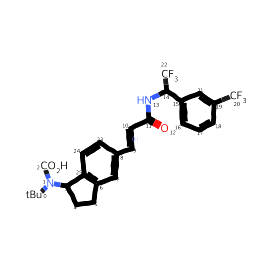 CC(C)(C)N(C(=O)O)C1CCc2cc(/C=C/C(=O)NC(c3cccc(C(F)(F)F)c3)C(F)(F)F)ccc21